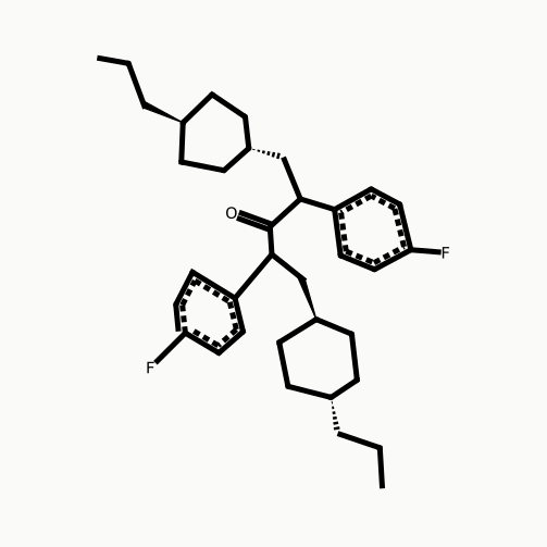 CCC[C@H]1CC[C@H](CC(C(=O)C(C[C@H]2CC[C@H](CCC)CC2)c2ccc(F)cc2)c2ccc(F)cc2)CC1